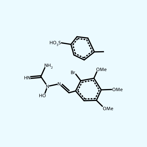 COc1cc(C=NN(O)C(=N)N)c(Br)c(OC)c1OC.Cc1ccc(S(=O)(=O)O)cc1